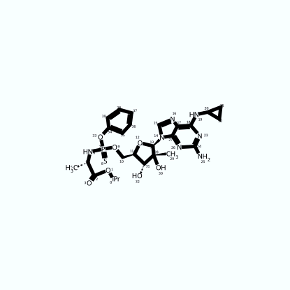 CC(C)OC(=O)[C@H](C)NP(=S)(OC[C@H]1O[C@@H](n2cnc3c(NC4CC4)nc(N)nc32)[C@](C)(O)[C@@H]1O)Oc1ccccc1